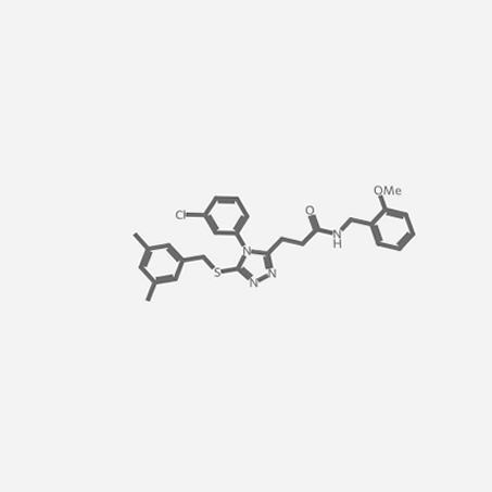 COc1ccccc1CNC(=O)CCc1nnc(SCc2cc(C)cc(C)c2)n1-c1cccc(Cl)c1